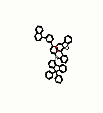 c1ccc(C2(c3ccccc3)c3ccccc3-c3c(N(c4ccc(-c5cccc(-c6cccc7ccccc67)c5)cc4)c4ccccc4-c4cccc5c4oc4ccccc45)cccc32)cc1